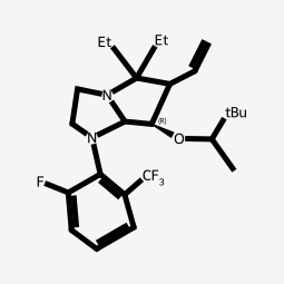 C=CC1[C@@H](OC(C)C(C)(C)C)C2N(c3c(F)cccc3C(F)(F)F)CCN2C1(CC)CC